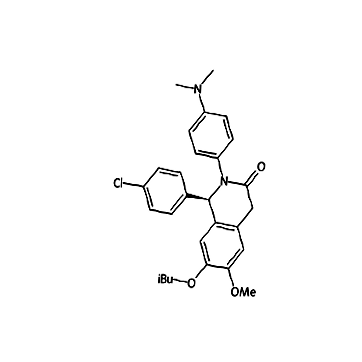 CCC(C)Oc1cc2c(cc1OC)CC(=O)N(c1ccc(N(C)C)cc1)[C@@H]2c1ccc(Cl)cc1